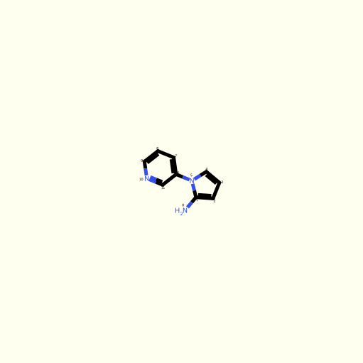 Nc1cccn1-c1cccnc1